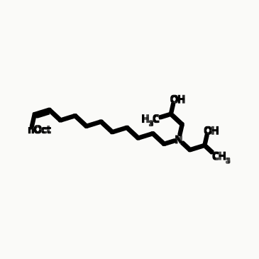 CCCCCCCC/C=C\CCCCCCCCCN(CC(C)O)CC(C)O